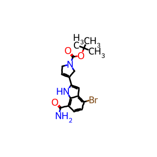 CC(C)(C)OC(=O)N1CC=C(c2cc3c(Br)ccc(C(N)=O)c3[nH]2)C1